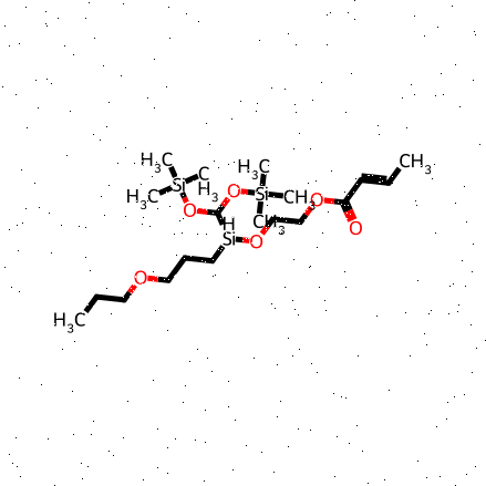 CC=CC(=O)OCCO[SiH](CCCOCCC)C(O[Si](C)(C)C)O[Si](C)(C)C